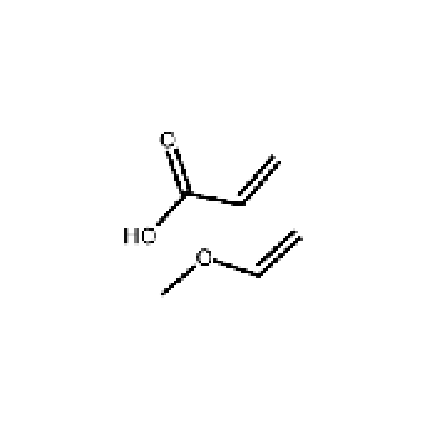 C=CC(=O)O.C=COC